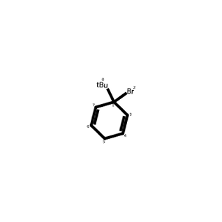 CC(C)(C)C1(Br)C=CCC=C1